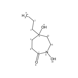 CCCC1(O)CCC(=O)N(O)CC1